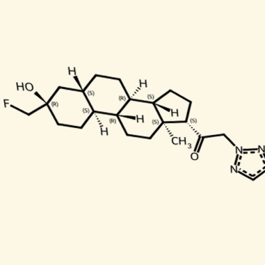 C[C@]12CC[C@H]3[C@@H](CC[C@H]4C[C@@](O)(CF)CC[C@@H]43)[C@@H]1CC[C@@H]2C(=O)Cn1nccn1